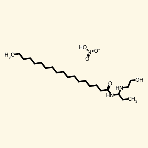 CCCCCCCCCCCCCCCCCC(=O)NC(CC)NCCO.O=[N+]([O-])O